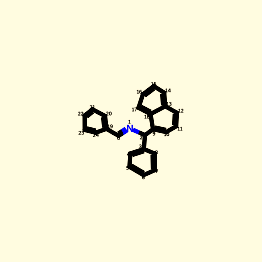 C(=N\C(c1ccccc1)c1cccc2ccccc12)/c1ccccc1